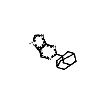 c1nc2nc(C34CC5CC(CC(C5)C3)C4)ncc2[nH]1